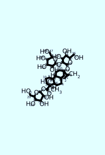 C=C1C[C@@]23CC[C@H]4[C@@](C)(CCC[C@@]4(C)C(=O)O[C@@H]4OC(CO)[C@@H](O)C(O)[C@@H]4O)[C@@H]2CC[C@@]1(O[C@@H]1OC(CO)[C@@H](O)C(O)[C@@H]1O[C@@H]1OC(CO)[C@@H](O)C(O)[C@@H]1O)C3